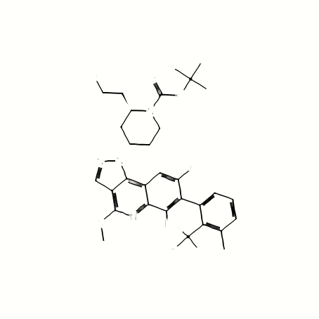 CSc1nc2c(F)c(-c3cccc(C)c3C(F)(F)F)c(Cl)cc2c2c1cnn2[C@H]1CCN(C(=O)OC(C)(C)C)[C@H](CCO)C1